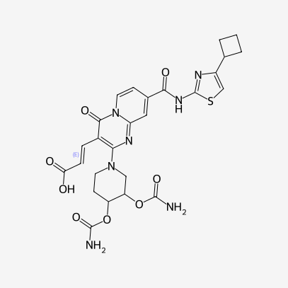 NC(=O)OC1CCN(c2nc3cc(C(=O)Nc4nc(C5CCC5)cs4)ccn3c(=O)c2/C=C/C(=O)O)CC1OC(N)=O